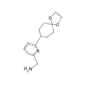 NCc1cccc(C2CCC3(CC2)OCCO3)n1